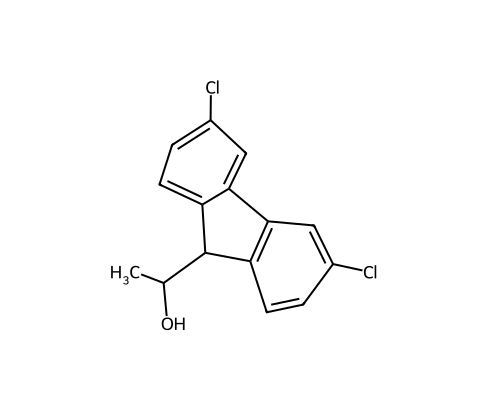 CC(O)C1c2ccc(Cl)cc2-c2cc(Cl)ccc21